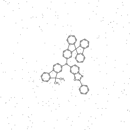 CC1(C)c2ccccc2-c2ccc(N(c3ccc4c(c3)C3(c5ccccc5-c5ccccc53)c3ccccc3-4)c3ccc4nc(-c5ccccc5)oc4c3)cc21